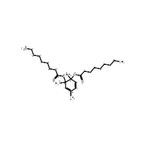 CCCCCCCCC(=O)OC1(N)C=CC(C)=CC1(N)OC(=O)CCCCCCCC